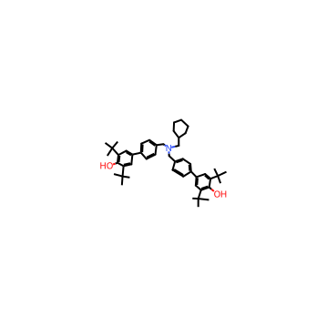 CC(C)(C)c1cc(-c2ccc(CN(Cc3ccc(-c4cc(C(C)(C)C)c(O)c(C(C)(C)C)c4)cc3)CC3CCCCC3)cc2)cc(C(C)(C)C)c1O